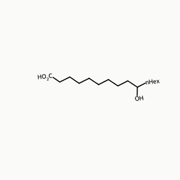 CCCCCCC(O)CCCCCCCCC(=O)O